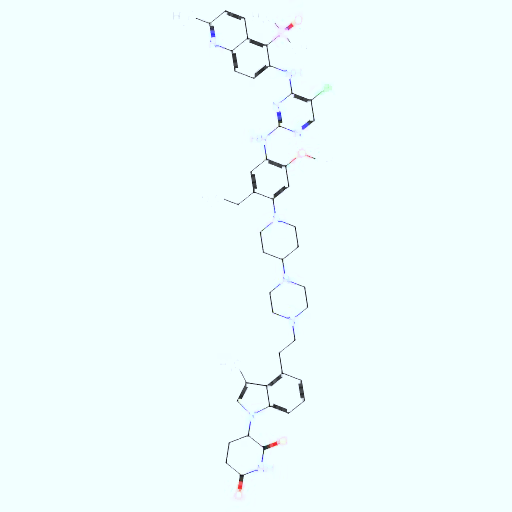 CCc1cc(Nc2ncc(Br)c(Nc3ccc4nc(C)ccc4c3P(C)(C)=O)n2)c(OC)cc1N1CCC(N2CCN(CCc3cccc4c3c(C)cn4C3CCC(=O)NC3=O)CC2)CC1